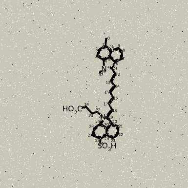 Cc1ccc2c3c(cccc13)C(/C=C/C=C/C=C/C=c1/c3cccc4c(S(=O)(=O)O)ccc(c43)n1CCCC(=O)O)=[N+]2C